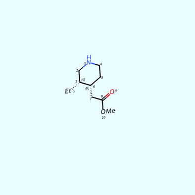 CC[C@@H]1CNCC[C@@H]1CC(=O)OC